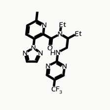 CCC(CNc1ncc(C(F)(F)F)cn1)N(CC)C(=O)c1nc(C)ccc1-n1nccn1